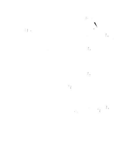 CCOCCCNc1c(N2CCN(C(=O)[C@@H](C)N)CC2)cnn(-c2ccccc2)c1=O